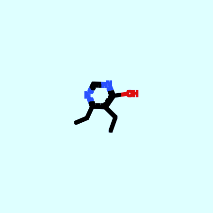 CCc1ncnc(O)c1CC